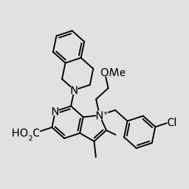 COCC[N+]1(Cc2cccc(Cl)c2)C(C)=C(C)c2cc(C(=O)O)nc(N3CCc4ccccc4C3)c21